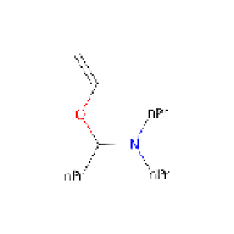 C=COC(CCC)N(CCC)CCC